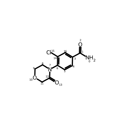 NC(=O)c1ccc(N2CCOCC2=O)c(Cl)c1